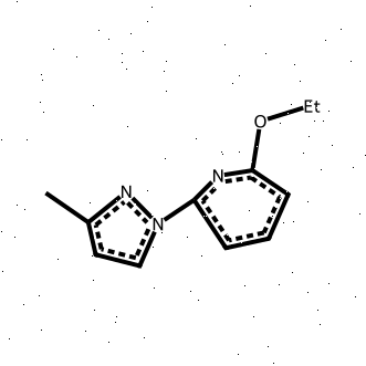 CCOc1cccc(-n2ccc(C)n2)n1